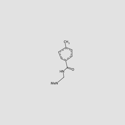 CNCNC(=O)c1ccc(C)cc1